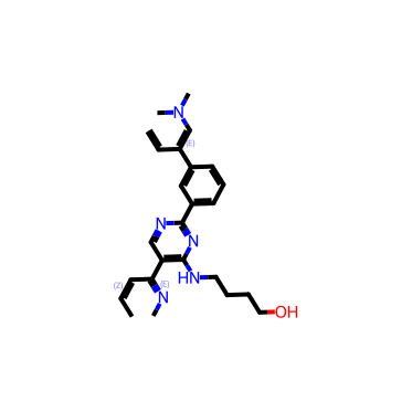 C=C/C(=C\N(C)C)c1cccc(-c2ncc(C(/C=C\C)=N/C)c(NCCCCO)n2)c1